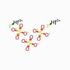 O=S(=O)([O-])[O-].O=S(=O)([O-])[O-].O=S(=O)([O-])[O-].[F][Hf+3].[F][Hf+3]